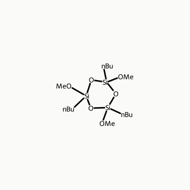 CCCC[Si]1(OC)O[Si](CCCC)(OC)O[Si](CCCC)(OC)O1